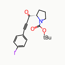 CC(C)(C)OC(=O)N1CCC[C@H]1C(=O)C#Cc1ccc(I)cc1